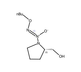 CCCCO/N=[N+](\[O-])N1CCC[C@H]1CO